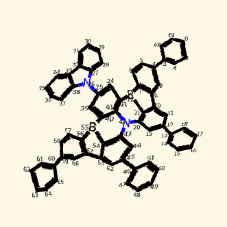 c1ccc(-c2ccc3c(c2)-c2cc(-c4ccccc4)cc4c2B3c2cc(-n3c5ccccc5c5ccccc53)cc3c2N4c2cc(-c4ccccc4)cc4c2B3c2ccc(-c3ccccc3)cc2-4)cc1